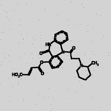 CC1CCCCN1CCC(=O)N1c2ccccc2NC(=O)c2c(OC(=O)/C=C/C(=O)O)cccc21